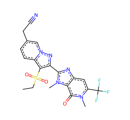 CCS(=O)(=O)c1c(-c2nc3cc(C(F)(F)F)n(C)c(=O)c3n2C)nn2cc(CC#N)ccc12